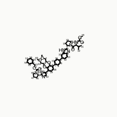 COCCOc1c(-c2ccc(-c3ccc4nc([C@@H]5CCCN5C(=O)[C@@H](NC(=O)OC)C(C)C)[nH]c4c3)cc2)ccc(-c2cnc([C@@H]3CCCN3C(=O)OCc3ccccc3)[nH]2)c1OCCOC